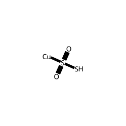 O=[S](=O)(S)[Cu]